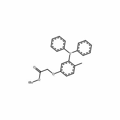 Cc1ccc(OCC(=O)OC(C)(C)C)cc1[S+](c1ccccc1)c1ccccc1